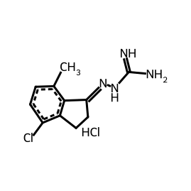 Cc1ccc(Cl)c2c1C(=NNC(=N)N)CC2.Cl